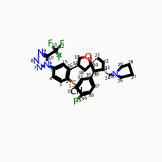 CSc1ccc(-n2nnnc2C(F)(F)F)cc1[C@H]1CO[C@]2(CC[C@H](CN3CCCC3)[C@H]2c2ccc(F)cc2)C1